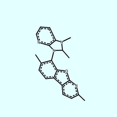 Cc1ccc2c(n1)oc1c(N3c4ncccc4N(C)C3C)c(C)ccc12